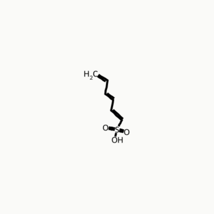 C=CC=CC=CS(=O)(=O)O